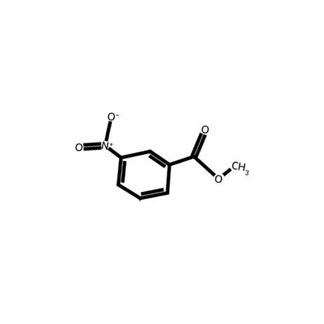 COC(=O)c1c[c]cc([N+](=O)[O-])c1